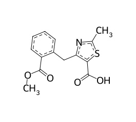 COC(=O)c1ccccc1Cc1nc(C)sc1C(=O)O